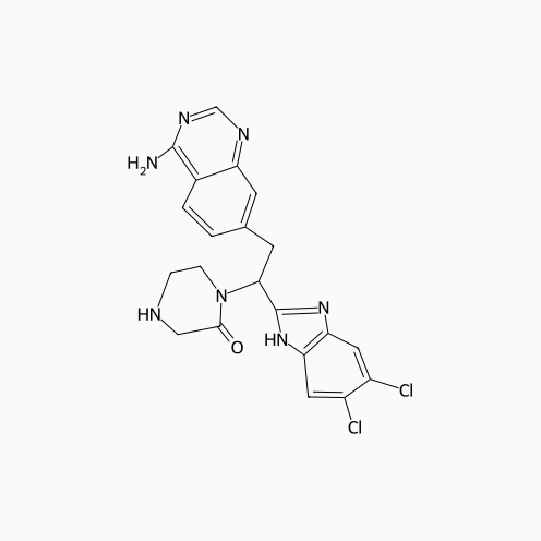 Nc1ncnc2cc(CC(c3nc4cc(Cl)c(Cl)cc4[nH]3)N3CCNCC3=O)ccc12